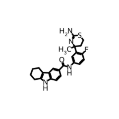 CC1(c2cc(NC(=O)c3ccc4[nH]c5c(c4c3)CCCC5)ccc2F)CCSC(N)=N1